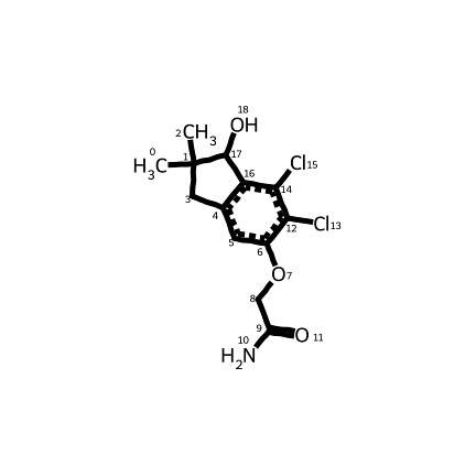 CC1(C)Cc2cc(OCC(N)=O)c(Cl)c(Cl)c2C1O